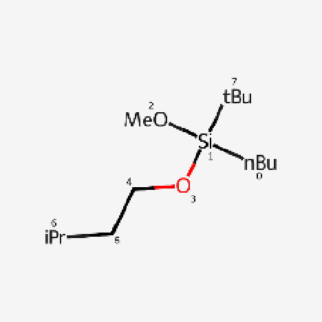 CCCC[Si](OC)(OCCC(C)C)C(C)(C)C